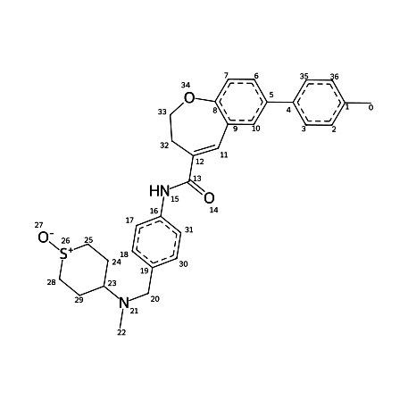 Cc1ccc(-c2ccc3c(c2)C=C(C(=O)Nc2ccc(CN(C)C4CC[S+]([O-])CC4)cc2)CCO3)cc1